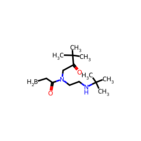 BCC(=O)N(CCNC(C)(C)C)CC(=O)C(C)(C)C